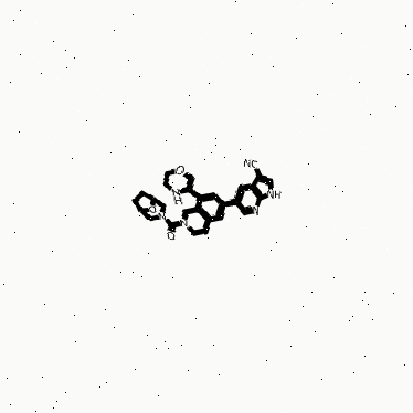 N#Cc1c[nH]c2ncc(-c3cc4c(c(C5COCCN5)c3)CN(C(=O)N3CC5CCC(C3)O5)CC4)cc12